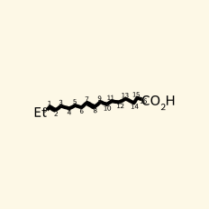 CCC=CCCCCC=CCCCCCCCC(=O)O